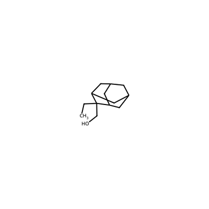 CCC1(CO)C2CC3CC(C2)CC1C3